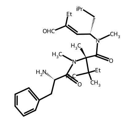 CC/C(C=O)=C\[C@H](CC(C)C)N(C)C(=O)[C@@](C)(N(C)C(=O)[C@@H](N)Cc1ccccc1)C(C)(C)CC